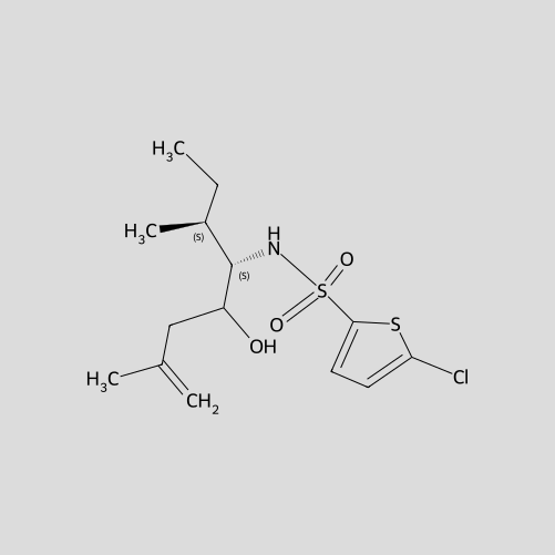 C=C(C)CC(O)[C@@H](NS(=O)(=O)c1ccc(Cl)s1)[C@@H](C)CC